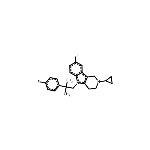 CC(C)(Cn1c2c(c3cc(Cl)ccc31)CN(C1CC1)CC2)c1ccc(F)cc1